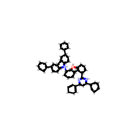 C1=CC(c2cc(-c3ccccc3)nc(-c3cccc4oc5c(-n6c7ccc(-c8ccccc8)cc7c7cc(-c8ccccc8)ccc76)cccc5c34)n2)=CCC1